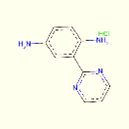 Cl.Nc1ccc(N)c(-c2ncccn2)c1